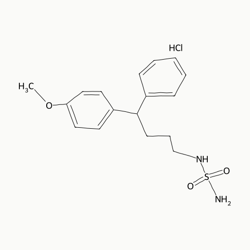 COc1ccc(C(CCCNS(N)(=O)=O)c2ccccc2)cc1.Cl